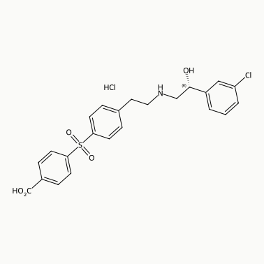 Cl.O=C(O)c1ccc(S(=O)(=O)c2ccc(CCNC[C@H](O)c3cccc(Cl)c3)cc2)cc1